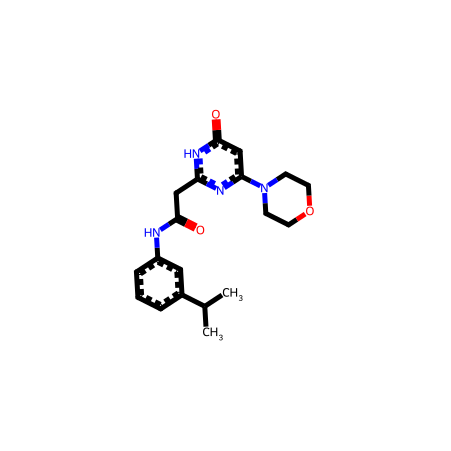 CC(C)c1cccc(NC(=O)Cc2nc(N3CCOCC3)cc(=O)[nH]2)c1